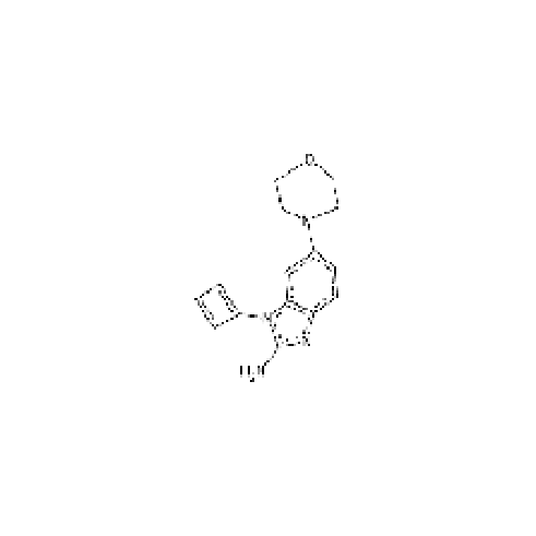 Nc1nc2ccc(N3CCOCC3)cc2n1C1=CC=C1